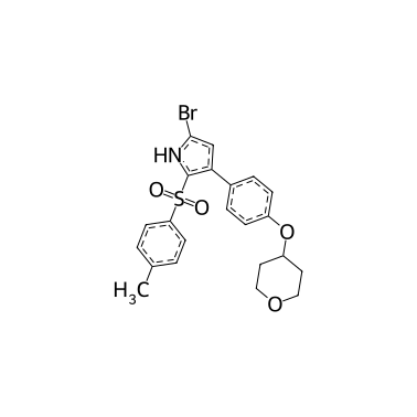 Cc1ccc(S(=O)(=O)c2[nH]c(Br)cc2-c2ccc(OC3CCOCC3)cc2)cc1